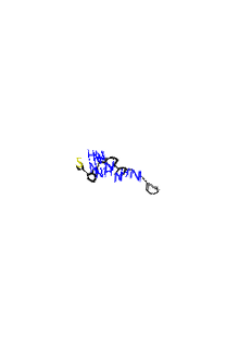 c1cc(-c2ccsc2)c2nc(-c3n[nH]c4ccc(-c5cncc(CNCC6CCCC6)c5)nc34)[nH]c2c1